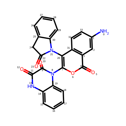 Nc1[c]c2c(=O)oc(-n3c(=O)c(=O)[nH]c4ccccc43)c(N3C(=O)Cc4ccccc43)c2cc1